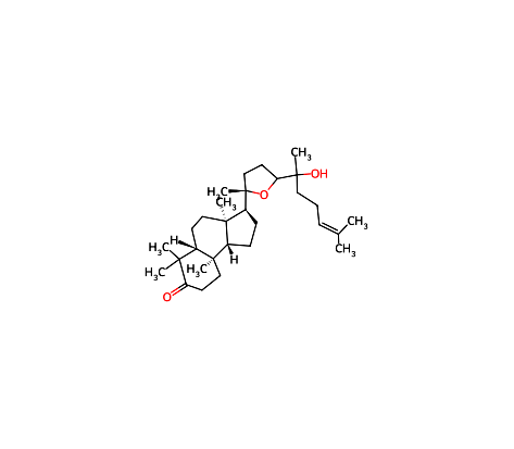 CC(C)=CCCC(C)(O)C1CC[C@@](C)([C@H]2CC[C@@H]3[C@@]4(C)CCC(=O)C(C)(C)[C@@H]4CC[C@]32C)O1